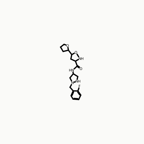 O=C(NC1CNN(Cc2ccccc2F)C1)C1CC(C2CCCO2)ON1